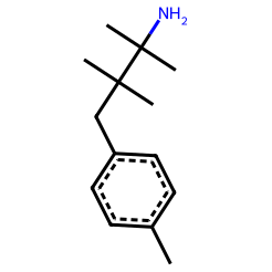 Cc1ccc(CC(C)(C)C(C)(C)N)cc1